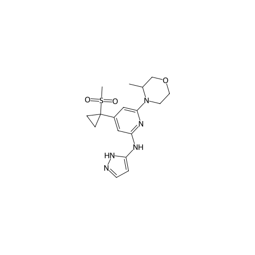 CC1COCCN1c1cc(C2(S(C)(=O)=O)CC2)cc(Nc2ccn[nH]2)n1